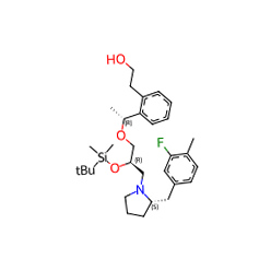 Cc1ccc(C[C@@H]2CCCN2C[C@H](CO[C@H](C)c2ccccc2CCO)O[Si](C)(C)C(C)(C)C)cc1F